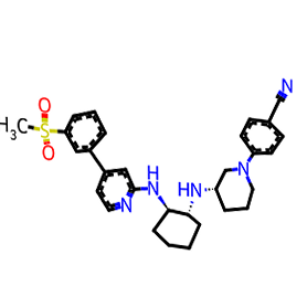 CS(=O)(=O)c1cccc(-c2ccnc(N[C@@H]3CCCC[C@H]3N[C@H]3CCCN(c4ccc(C#N)cc4)C3)c2)c1